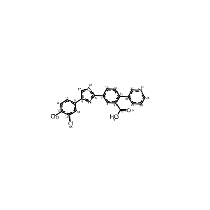 O=C(O)c1cc(-c2nc(-c3ccc(Cl)c(Cl)c3)cs2)ccc1-c1cccnc1